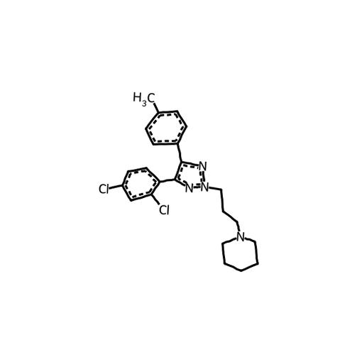 Cc1ccc(-c2nn(CCCN3CCCCC3)nc2-c2ccc(Cl)cc2Cl)cc1